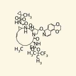 CC[C@@H]1C[C@H](C)CC/C=C\C2C[C@@]2(C(=O)NS(=O)(=O)C2(C)CC2)NC(=O)[C@@H]2C[C@@H](Oc3nccc4c5c(ccc34)OCCO5)CN2C(=O)[C@H]1NC(=O)OC(C)(C)C(F)(F)F